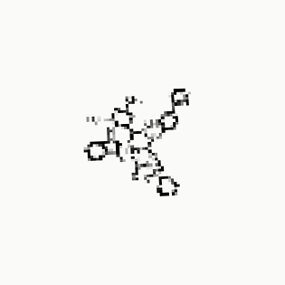 Cc1cc(C)cc(C(=O)N(C)[C@H](Cc2ccc(-c3ccon3)cc2)C(=O)N[C@@H](Cc2c[nH]c3ccccc23)C(=O)NS(=O)(=O)c2ccccc2)c1